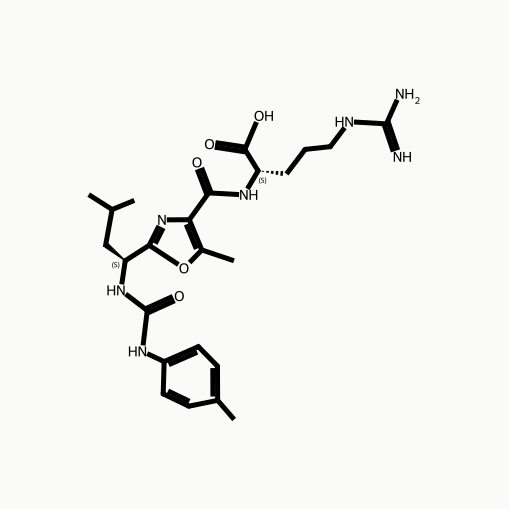 Cc1ccc(NC(=O)N[C@@H](CC(C)C)c2nc(C(=O)N[C@@H](CCCNC(=N)N)C(=O)O)c(C)o2)cc1